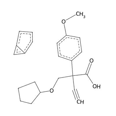 C#CC(COC1CCCC1)(C(=O)O)c1ccc(OC)cc1.c1cc2cc-2c1